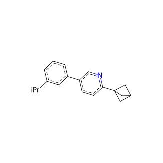 CC(C)c1cccc(-c2ccc(C34CC(C3)C4)nc2)c1